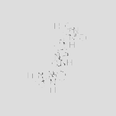 CCc1nc(C)c(CN2CCc3nc(NC(=O)c4cccc5[nH]c(C(N)=O)nc45)sc3C2)[nH]1